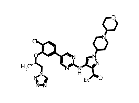 CCC(=O)c1nn(C2CCN(C3CCOCC3)CC2)cc1Nc1ncc(-c2ccc(Cl)c(O[C@@H](C)Cn3cnnn3)c2)cn1